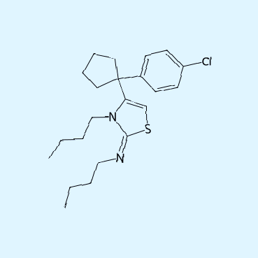 CCCCN=c1scc(C2(c3ccc(Cl)cc3)CCCC2)n1CCCC